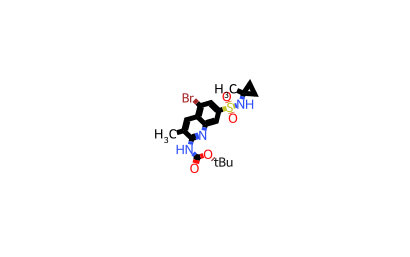 Cc1cc2c(Br)cc(S(=O)(=O)NC3(C)CC3)cc2nc1NC(=O)OC(C)(C)C